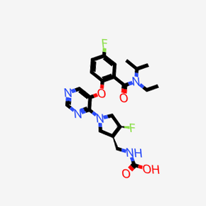 CCN(C(=O)c1cc(F)ccc1Oc1cncnc1N1C[C@H](CNC(=O)O)[C@H](F)C1)C(C)C